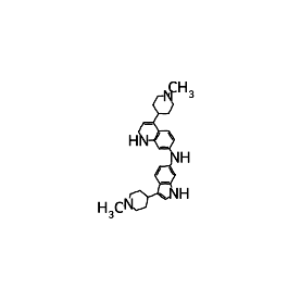 CN1CCC(C2=CCNc3cc(Nc4ccc5c(C6CCN(C)CC6)c[nH]c5c4)ccc32)CC1